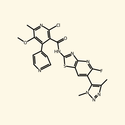 COc1c(C)nc(Cl)c(C(=O)Nc2nc3nc(F)c(-c4c(C)nnn4C)cc3s2)c1-c1ccncc1